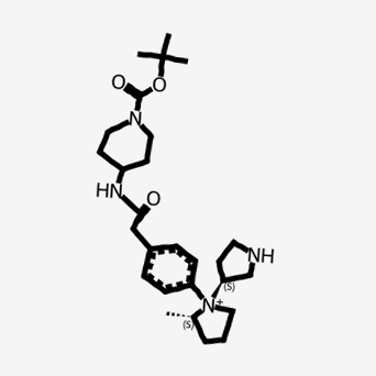 C[C@H]1CCC[N+]1(c1ccc(CC(=O)NC2CCN(C(=O)OC(C)(C)C)CC2)cc1)[C@H]1CCNC1